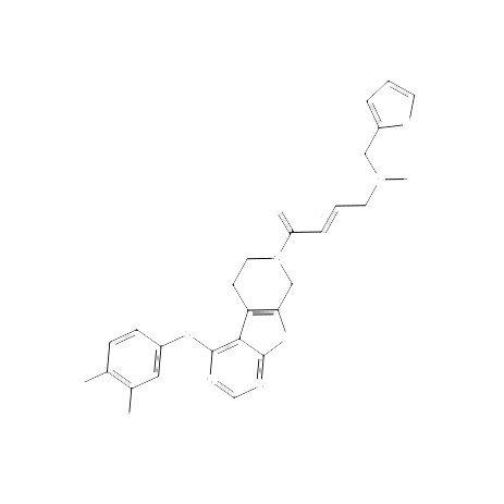 CN(C/C=C/C(=O)N1CCc2c(sc3ncnc(Nc4ccc(F)c(Cl)c4)c23)C1)Cc1ccco1